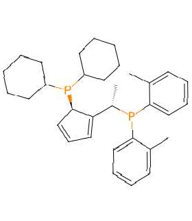 Cc1ccccc1P(c1ccccc1C)[C@@H](C)C1=CC=C[C@H]1P(C1CCCCC1)C1CCCCC1